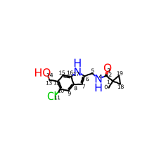 CC1(C(=O)NCc2cc3cc(Cl)c(CO)cc3[nH]2)CC1